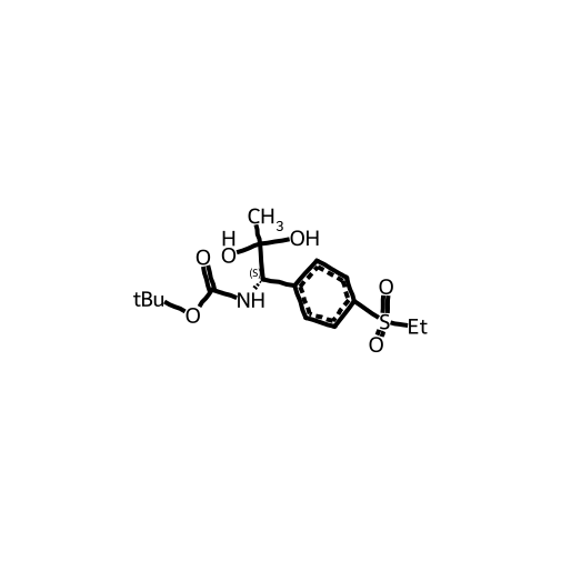 CCS(=O)(=O)c1ccc([C@H](NC(=O)OC(C)(C)C)C(C)(O)O)cc1